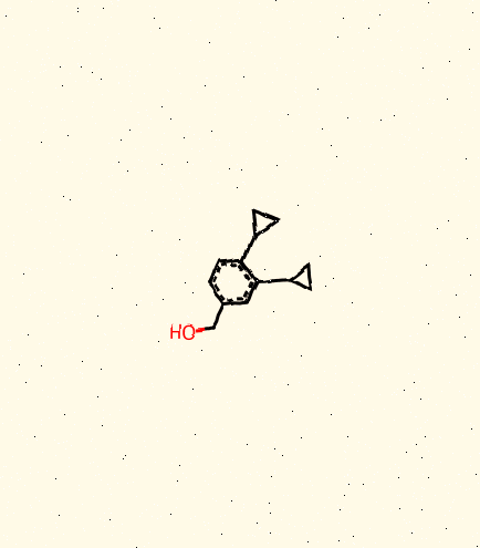 OCc1ccc(C2CC2)c(C2CC2)c1